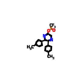 Cc1ccc(-c2ncc(OS(=O)C(F)(F)F)nc2-c2ccc(C)cc2)cc1